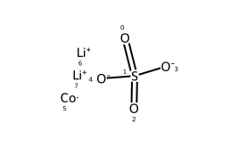 O=S(=O)([O-])[O-].[Co].[Li+].[Li+]